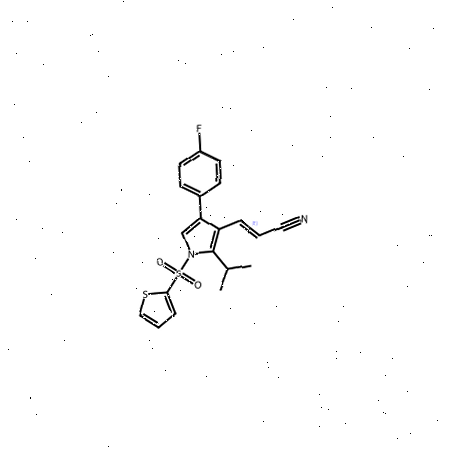 CC(C)c1c(/C=C/C#N)c(-c2ccc(F)cc2)cn1S(=O)(=O)c1cccs1